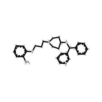 Nc1ccccc1OCCCN1CCC(OC(c2ccccc2)c2cccnc2)CC1